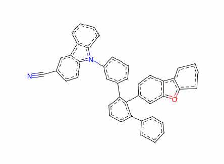 N#Cc1ccc2c(c1)c1ccccc1n2-c1cccc(-c2cccc(-c3ccccc3)c2-c2ccc3c(c2)oc2ccccc23)c1